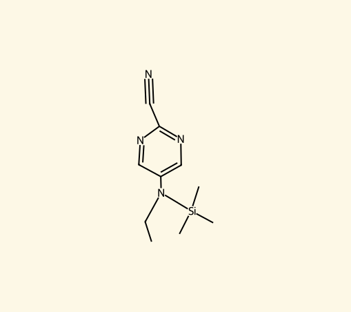 CCN(c1cnc(C#N)nc1)[Si](C)(C)C